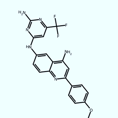 COc1ccc(-c2cc(N)c3cc(Nc4cc(C(F)(F)F)nc(N)n4)ccc3n2)cc1